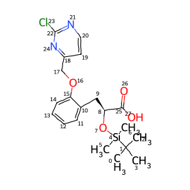 CC(C)(C)[Si](C)(C)O[C@@H](Cc1ccccc1OCc1ccnc(Cl)n1)C(=O)O